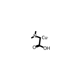 CN(C)CC(=O)O.[Cu]